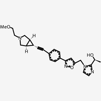 COCCN1C[C@@H]2[C@@H](C#Cc3ccc(-c4cc(Cn5ccnc5[C@H](C)O)on4)cc3)[C@@H]2C1